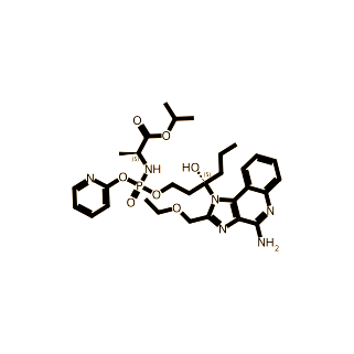 CCC[C@](O)(CCOP(=O)(N[C@@H](C)C(=O)OC(C)C)Oc1ccccn1)n1c(COCC)nc2c(N)nc3ccccc3c21